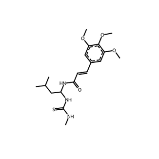 CNC(=S)NC(CC(C)C)NC(=O)/C=C/c1cc(OC)c(OC)c(OC)c1